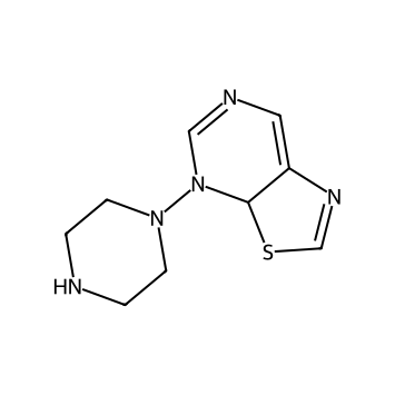 C1=NC=C2N=CSC2N1N1CCNCC1